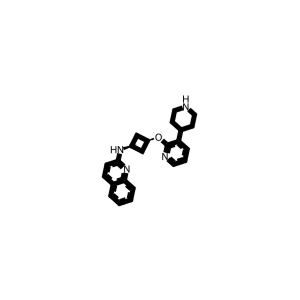 c1cnc(O[C@H]2C[C@H](Nc3ccc4ccccc4n3)C2)c(C2CCNCC2)c1